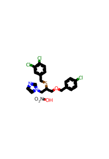 Clc1ccc(COCC(Cn2ccnc2)SCc2ccc(Cl)c(Cl)c2)cc1.O=[N+]([O-])O